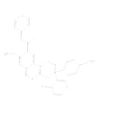 COc1ccc(C2(c3ccccc3F)C=Cc3c(ccc4cc(OC)c(C(=O)Oc5ccccc5)cc34)O2)cc1